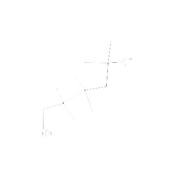 CC(C)(C)CC(C)(C)C(C)(C)CC(C)(C)C(F)(F)F